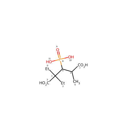 CCC(CC)(C(=O)O)C(C(C)C(=O)O)P(=O)(O)O